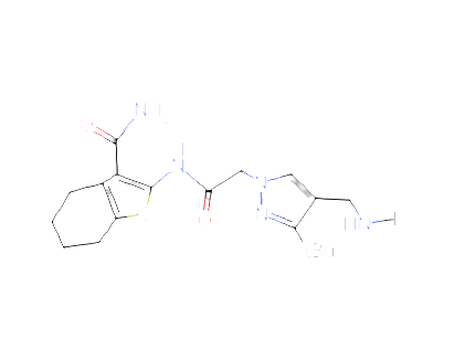 CCNCc1cn(CC(=O)Nc2sc3c(c2C(N)=O)CCCC3)nc1C(C)(C)C